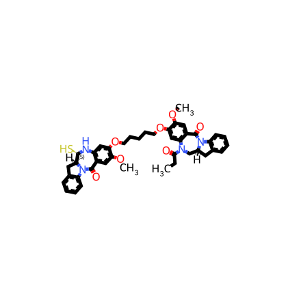 CCC(=O)N1C[C@@H]2Cc3ccccc3N2C(=O)c2cc(OC)c(OCCCCCOc3cc4c(cc3OC)C(=O)N3c5ccccc5C[C@H]3[C@H](S)N4)cc21